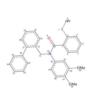 CCCSc1ccccc1C(=O)N(Cc1ccccc1-c1ccccc1)c1ccc(OC)c(OC)c1